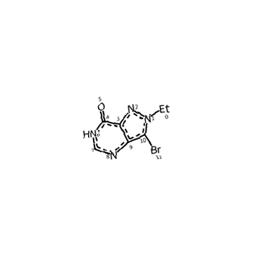 CCn1nc2c(=O)[nH]cnc2c1Br